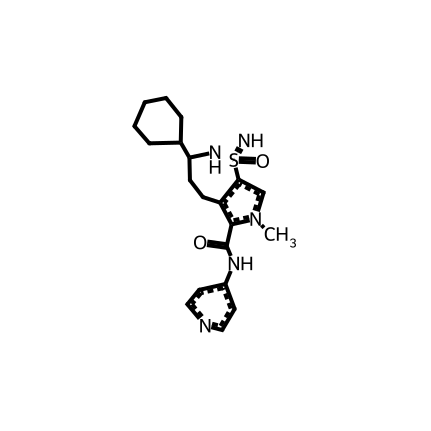 Cn1cc2c(c1C(=O)Nc1ccncc1)CCC(C1CCCCC1)NS2(=N)=O